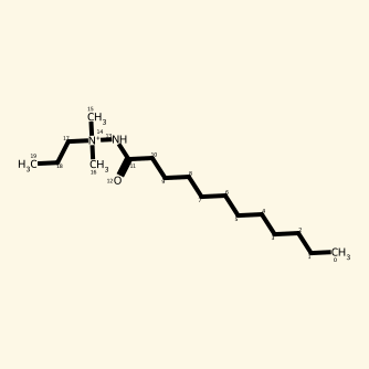 CCCCCCCCCCCC(=O)N[N+](C)(C)CCC